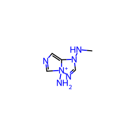 CNN1C=N[N+]2(N)C=NC=C12